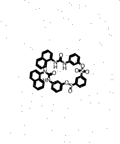 O=C(Nc1cccc(OS(=O)c2cccc(S(=O)(=O)Oc3cccc(NC(=O)Nc4cccc5ccccc45)c3)c2)c1)Nc1cccc2ccccc12